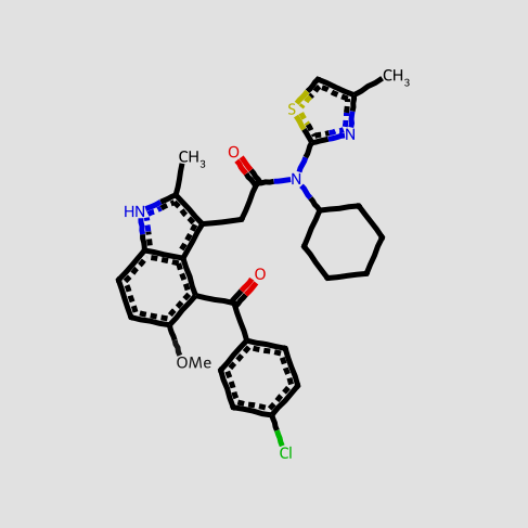 COc1ccc2[nH]c(C)c(CC(=O)N(c3nc(C)cs3)C3CCCCC3)c2c1C(=O)c1ccc(Cl)cc1